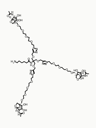 CC(=O)N[C@H]1[C@@H]2OC[C@](COCCOCCOCCOCCn3cc(COCC(COCc4cn(CCOCCOCCOCCOC[C@@]56CO[C@H](O5)[C@H](NC(C)=O)[C@@H](O)[C@H]6O)nn4)(COCc4cn(CCOCCOCCOCCOC[C@@]56CO[C@@H](O5)[C@H](NC(C)=O)[C@@H](O)[C@H]6O)nn4)NC(=O)CCCCCN)nn3)(O2)[C@H](O)[C@@H]1O